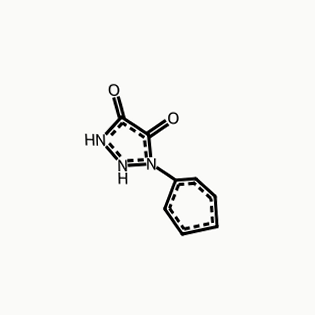 O=c1[nH][nH]n(-c2ccccc2)c1=O